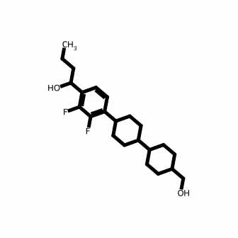 CCCC(O)c1ccc(C2CCC(C3CCC(CO)CC3)CC2)c(F)c1F